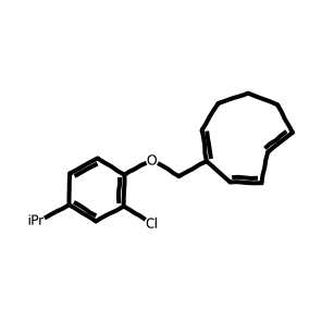 CC(C)c1ccc(OCC2=C/CCC/C=C/C=C\2)c(Cl)c1